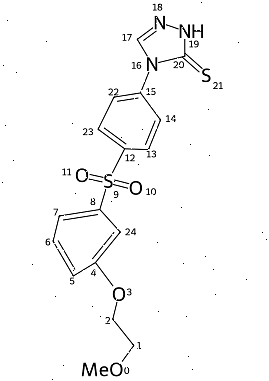 COCCOc1cccc(S(=O)(=O)c2ccc(-n3cn[nH]c3=S)cc2)c1